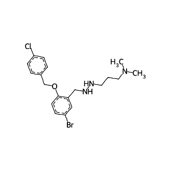 CN(C)CCCNNCc1cc(Br)ccc1OCc1ccc(Cl)cc1